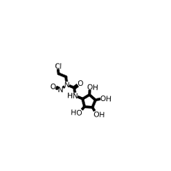 O=NN(CCCl)C(=O)NC1C(O)C(O)C(O)C1O